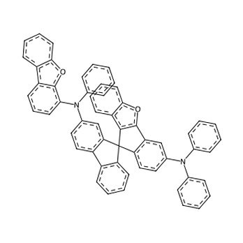 c1ccc(N(c2ccccc2)c2ccc3c(c2)-c2oc4ccccc4c2C32c3ccccc3-c3ccc(N(c4ccccc4)c4cccc5c4oc4ccccc45)cc32)cc1